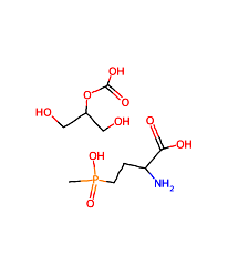 CP(=O)(O)CCC(N)C(=O)O.O=C(O)OC(CO)CO